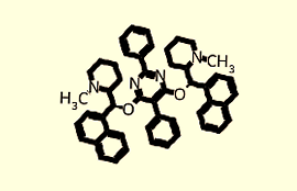 CN1CCCCC1[C@@H](Oc1nc(-c2ccccc2)nc(O[C@@H](c2cccc3ccccc23)C2CCCCN2C)c1-c1ccccc1)c1cccc2ccccc12